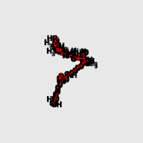 CC(C)[C@H](NC(=O)CCOCCOCCOCCOCCNC(=O)CCC(=O)N1Cc2ccccc2-c2nnn(CCOCCOCCOCCOCCC(=O)NCCS(=O)(=O)O)c2-c2ccccc21)C(=O)N[C@@H](CCCNC(N)=O)C(=O)Nc1ccc(COC(=O)NCC(=O)NCOCC(=O)Nc2ccc3c(c2)[C@@]2(C)CCC[C@](C)(C(=O)NC(=O)[C@@]4(C)CCC[C@]5(C)c6cc(O)ccc6CC[C@@H]45)[C@@H]2CC3)cc1